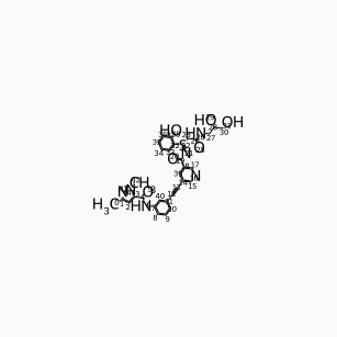 Cc1cc(C(=O)Nc2cccc(C#Cc3cncc(C(=O)N=S(CC(=O)NCC(O)CO)c4ccccc4O)c3)c2)n(C)n1